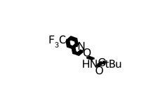 CC(C)(C)OC(=O)NCCOc1ccc2cc(C(F)(F)F)ccc2n1